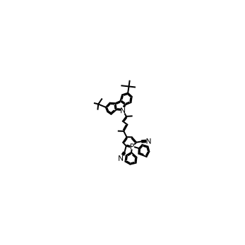 C/C(=C\C=C(/C)n1c2ccc(C(C)(C)C)cc2c2cc(C(C)(C)C)ccc21)C1=CC(C#N)=P(c2ccccc2)(c2ccccc2)C(C#N)=C1